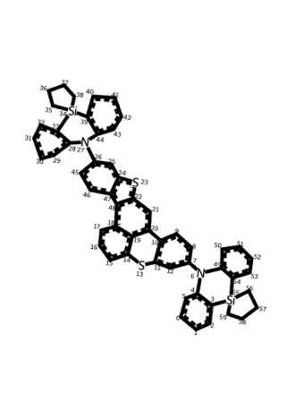 c1ccc2c(c1)N(c1ccc3c(c1)Sc1cccc4c1c-3cc1sc3cc(N5c6ccccc6[Si]6(CCCC6)c6ccccc65)ccc3c14)c1ccccc1[Si]21CCCC1